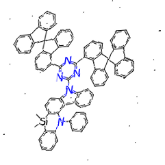 C[Si]1(C)c2ccccc2N(c2ccccc2)c2c1ccc1c2c2ccccc2n1-c1nc(-c2cccc3c2-c2ccccc2C32c3ccccc3-c3ccccc32)nc(-c2cccc3c2-c2ccccc2C32c3ccccc3-c3ccccc32)n1